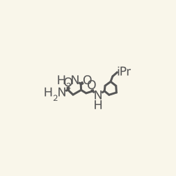 CC(C)CC1CCCC(NC(=O)CC(CC(N)=O)C(N)=O)C1